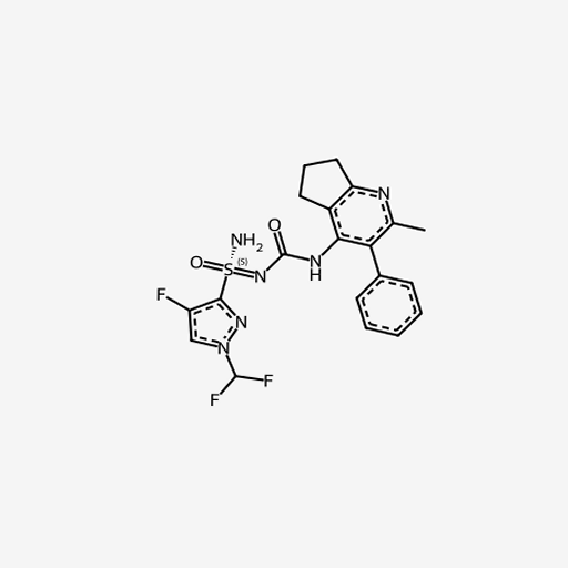 Cc1nc2c(c(NC(=O)N=[S@](N)(=O)c3nn(C(F)F)cc3F)c1-c1ccccc1)CCC2